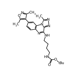 Cc1noc(C)c1-c1ccc2nc(NCCCCNC(=O)OC(C)(C)C)c3nnc(C)n3c2c1